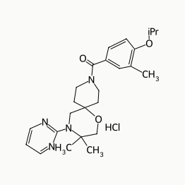 Cc1cc(C(=O)N2CCC3(CC2)CN(c2ncccn2)C(C)(C)CO3)ccc1OC(C)C.Cl